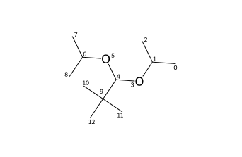 CC(C)OC(OC(C)C)C(C)(C)C